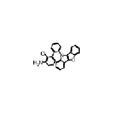 Nc1cccc(-c2ccccc2-n2c3ccccc3c3oc4ccccc4c32)c1Cl